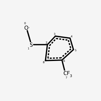 [O]Sc1cccc(C(F)(F)F)c1